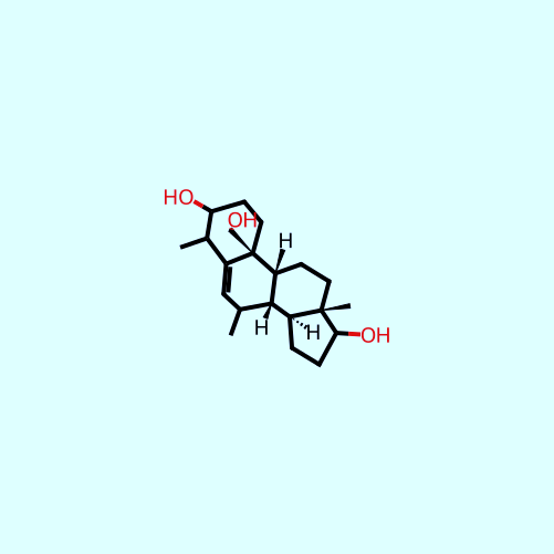 CC1C2=CC(C)[C@@H]3[C@@H](CC[C@]4(C)C(O)CC[C@@H]34)[C@@]2(CO)CCC1O